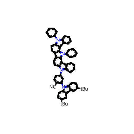 CC(C)(C)c1ccc2c(c1)c1cc(C(C)(C)C)ccc1n2-c1cc(-n2c3ccccc3c3c2ccc2c4ccc5c(c6ccccc6n5-c5ccccc5)c4n(-c4ccccc4)c23)ccc1C#N